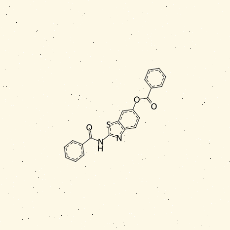 O=C(Nc1nc2ccc(OC(=O)c3ccccc3)cc2s1)c1ccccc1